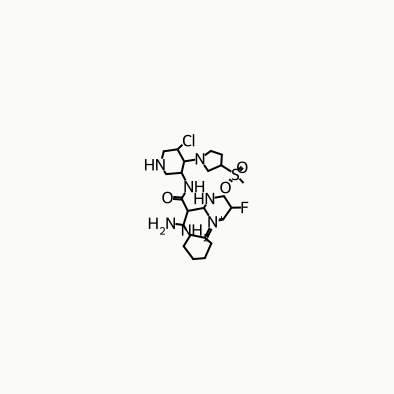 CS(=O)(=O)C1CCN(C2C(Cl)CNCC2NC(=O)C(C(N)N)C2NCC(F)C[N+]2=C2CCCCC2)C1